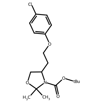 CC(C)(C)OC(=O)N1C(CCOc2ccc(Cl)cc2)COC1(C)C